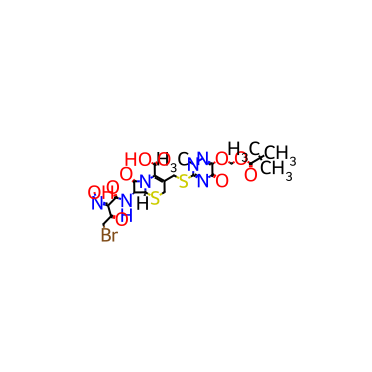 Cn1nc(OCOC(=O)C(C)(C)C)c(=O)nc1SCC1=C(C(=O)O)N2C(=O)[C@@H](NC(=O)/C(=N\O)C(=O)CBr)[C@H]2SC1